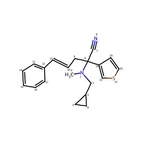 CN(CC1CC1)C(C#N)(CC=Cc1ccccc1)c1ccsc1